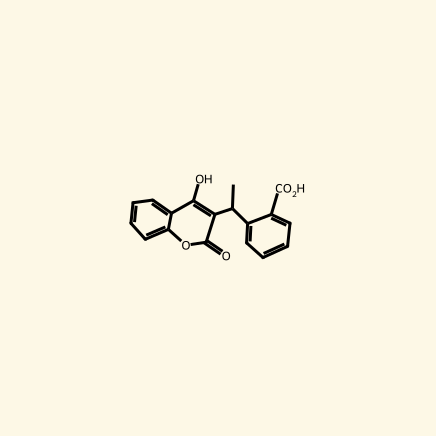 CC(c1ccccc1C(=O)O)c1c(O)c2ccccc2oc1=O